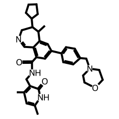 Cc1cc(C)c(CNC(=O)c2cc(-c3ccc(CN4CCOCC4)cc3)cc3c2C=NCC(C2CCCC2)C3C)c(=O)[nH]1